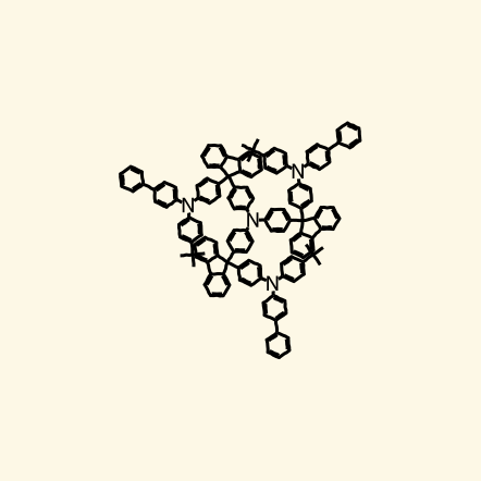 CC(C)(C)c1ccc(N(c2ccc(-c3ccccc3)cc2)c2ccc(C3(c4ccc(N(c5ccc(C6(c7ccc(N(c8ccc(-c9ccccc9)cc8)c8ccc(C(C)(C)C)cc8)cc7)c7ccccc7-c7ccccc76)cc5)c5ccc(C6(c7ccc(N(c8ccc(-c9ccccc9)cc8)c8ccc(C(C)(C)C)cc8)cc7)c7ccccc7-c7ccccc76)cc5)cc4)c4ccccc4-c4ccccc43)cc2)cc1